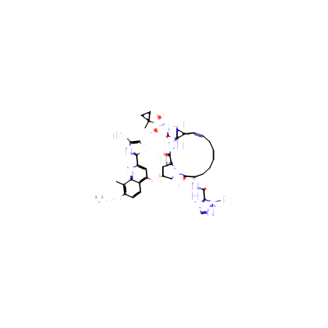 COc1ccc2c(O[C@@H]3C[C@H]4C(=O)N[C@]5(C(=O)NS(=O)(=O)C6(C)CC6)C[C@H]5/C=C\CCCCC[C@H](NC(=O)c5ncnn5C(C)C)C(=O)N4C3)cc(-c3nc(C(C)C)cs3)nc2c1C